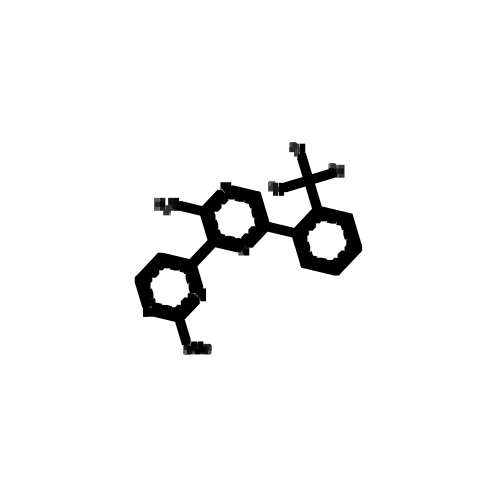 [2H]C([2H])([2H])c1ccccc1-c1cnc(N)c(-c2ccnc(SC)n2)n1